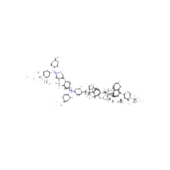 CCCCCCCCC1(CCCCCCCC)c2cc(N(c3ccc(C)cc3)c3ccc(C(C)(C)CC)cc3)ccc2-c2ccc(N(c3ccc(C)cc3)c3ccc(C(C)(CCCC)C(C)(C)c4cc(CCCCCC)c(C(C)(CC)C(C)(CC)c5cc6c(c7ccccc57)-c5ccc(C(C)(CC)CC)cc5C6(CCCCCCCC)CCCCCCCC)cc4CCCCCC)cc3)cc21